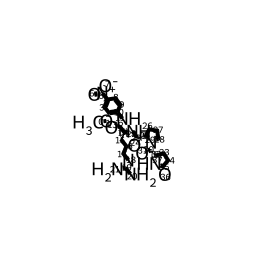 COc1cc([N+](=O)[O-])ccc1NC(=O)[C@H](CCCN=C(N)N)NC(=O)[C@@H]1CCCN1C(=O)[C@@H]1CCC(=O)N1